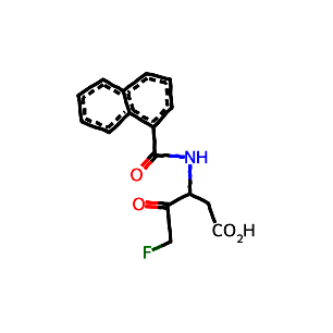 O=C(O)CC(NC(=O)c1cccc2ccccc12)C(=O)CF